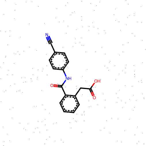 N#Cc1ccc(NC(=O)c2ccccc2CC(=O)O)cc1